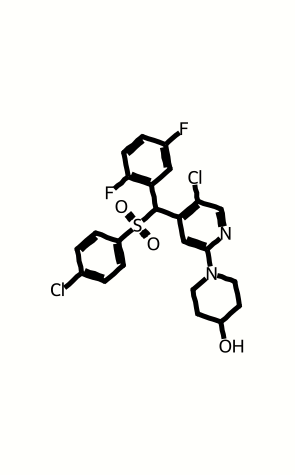 O=S(=O)(c1ccc(Cl)cc1)C(c1cc(F)ccc1F)c1cc(N2CCC(O)CC2)ncc1Cl